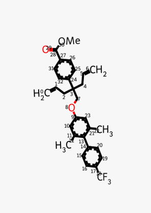 C=CCC(CC=C)(COc1cc(C)c(-c2ccc(C(F)(F)F)cc2)c(C)c1)c1ccc(C(=O)OC)cc1